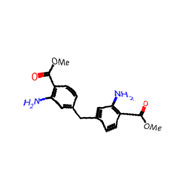 COC(=O)c1ccc(Cc2ccc(C(=O)OC)c(N)c2)cc1N